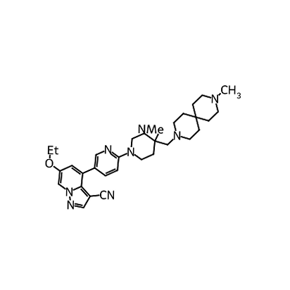 CCOc1cc(-c2ccc(N3CCC(CN4CCC5(CCN(C)CC5)CC4)(NC)CC3)nc2)c2c(C#N)cnn2c1